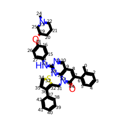 Cc1ccccc1-c1cc2cnc(Nc3ccc(OC4CCCN(C)C4)cc3)nc2n(Cc2sccc2-c2ccccc2)c1=O